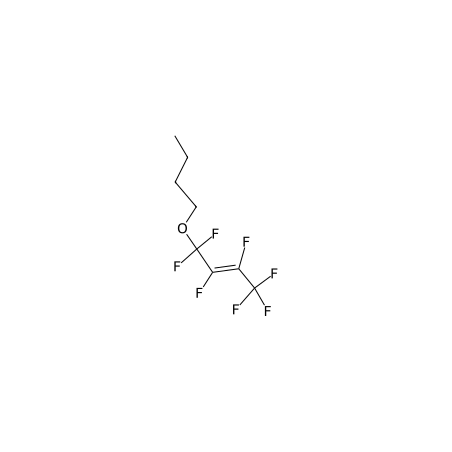 CCCCOC(F)(F)C(F)=C(F)C(F)(F)F